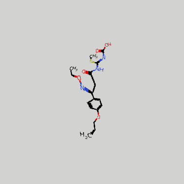 C=CCOc1ccc(C(CC(=O)NC(=NC(=O)O)SC)=NOCC)cc1